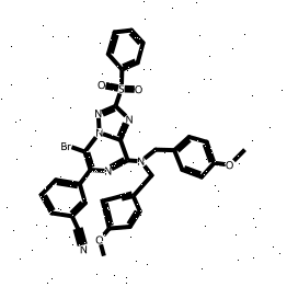 COc1ccc(CN(Cc2ccc(OC)cc2)c2nc(-c3cccc(C#N)c3)c(Br)n3nc(S(=O)(=O)c4ccccc4)nc23)cc1